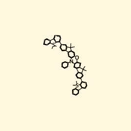 CC1(C)c2cc(-c3cccc4c3S(C)(C)c3ccccc3-4)ccc2-c2cc3c(cc21)Oc1cc2c(cc1N3c1ccccc1)-c1ccc(-c3cccc4c3S(C)(C)c3ccccc3-4)cc1C2(C)C